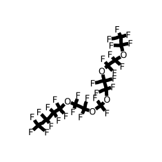 FC(F)(OC(F)(F)C(F)(F)OC(F)(F)C(F)(F)OC(F)(F)C(F)(F)F)OC(F)(F)C(F)(F)OC(F)(F)C(F)(F)C(F)(F)C(F)(F)F